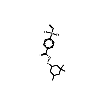 C=C[Si](CC)(CC)c1ccc(C(=O)OO[C]2CC(C)CC(C)(C)C2)cc1